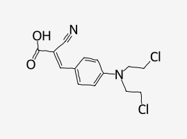 N#C/C(=C\c1ccc(N(CCCl)CCCl)cc1)C(=O)O